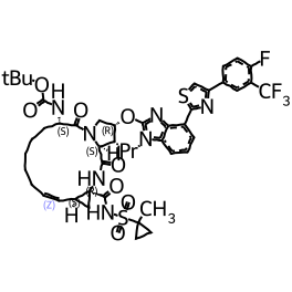 CC(C)n1c(O[C@@H]2C[C@H]3C(=O)N[C@]4(C(=O)NS(=O)(=O)C5(C)CC5)C[C@H]4/C=C\CCCCC[C@H](NC(=O)OC(C)(C)C)C(=O)N3C2)nc2c(-c3nc(-c4ccc(F)c(C(F)(F)F)c4)cs3)cccc21